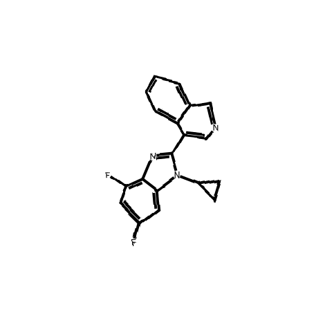 Fc1cc(F)c2nc(-c3cncc4ccccc34)n(C3CC3)c2c1